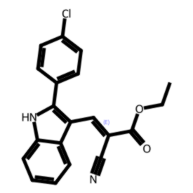 CCOC(=O)/C(C#N)=C/c1c(-c2ccc(Cl)cc2)[nH]c2ccccc12